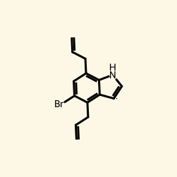 C=CCc1c(Br)cc(CC=C)c2[nH]c[c]c12